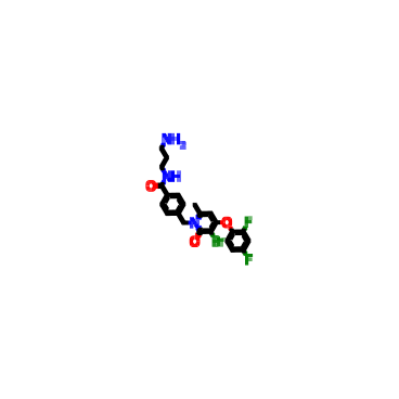 Cc1cc(Oc2ccc(F)cc2F)c(Br)c(=O)n1Cc1ccc(C(=O)NCCCN)cc1